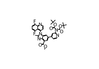 COC(=O)c1cc(-c2ccnc(N(C(=O)OC(C)(C)C)C(=O)OC(C)(C)C)c2)cc2c1nc(C)n2-c1ccnc2c(F)ccc(F)c12